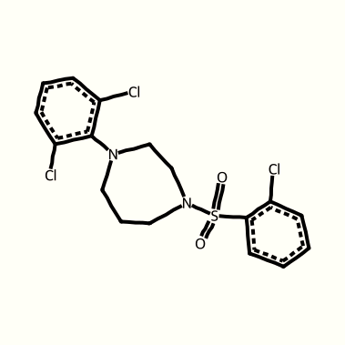 O=S(=O)(c1ccccc1Cl)N1CCCN(c2c(Cl)cccc2Cl)CC1